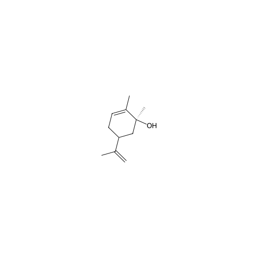 C=C(C)C1CC=C(C)[C@@](C)(O)C1